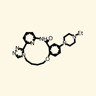 CCN1CCN(c2ccc3c(c2)C(=O)Nc2cccc(n2)-c2nncn2CCCCO3)CC1